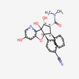 CN(C)C(=O)[C@H]1[C@@H](O)C2(O)c3ncc(O)cc3O[C@@]2(c2ccc(C#N)cc2)[C@@H]1c1ccccc1